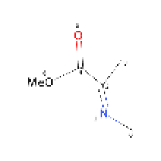 CN=C(C)C(=O)OC